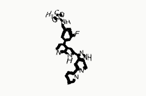 CS(=O)(=O)NCc1cc(F)cc(-c2ccnc3[nH]c(-c4n[nH]c5cnc(-c6ccccn6)cc45)cc23)c1